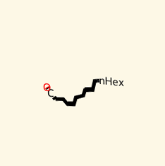 CCCCCCCC=CCC/C=C\CC=C=O